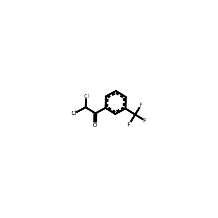 O=C(c1cccc(C(F)(F)F)c1)C(Cl)Cl